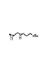 CCCCCCCNCC1CO1